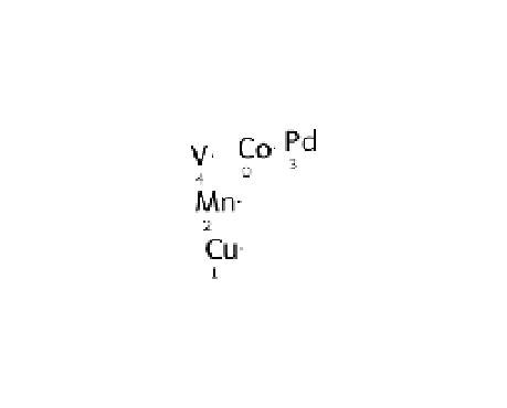 [Co].[Cu].[Mn].[Pd].[V]